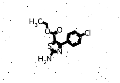 CCOC(=O)c1sc(N)nc1-c1ccc(Cl)cc1